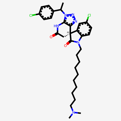 CC(c1ccc(Cl)cc1)n1nnc2c1NC(=O)C[C@]21C(=O)N(CCCCCCCCCCN(C)C)c2ccc(Cl)cc21